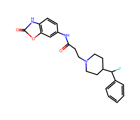 O=C(CCN1CCC(C(F)c2ccccc2)CC1)Nc1ccc2[nH]c(=O)oc2c1